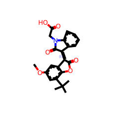 COc1cc2c(c(C(C)(C)C)c1)OC(=O)/C2=C1/C(=O)N(CC(=O)O)c2ccccc21